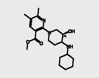 COC(=O)c1cc(C)c(C)nc1N1CCC(NC2CCCCC2)[C@H](O)C1